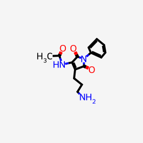 CC(=O)NC1=C(CCCN)C(=O)N(c2ccccc2)C1=O